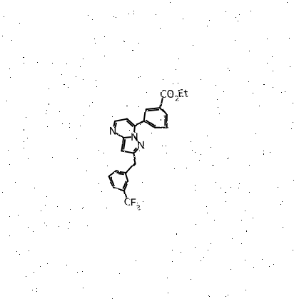 CCOC(=O)c1cccc(-c2ccnc3cc(Cc4cccc(C(F)(F)F)c4)nn23)c1